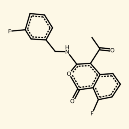 CC(=O)c1c(NCc2cccc(F)c2)oc(=O)c2c(F)cccc12